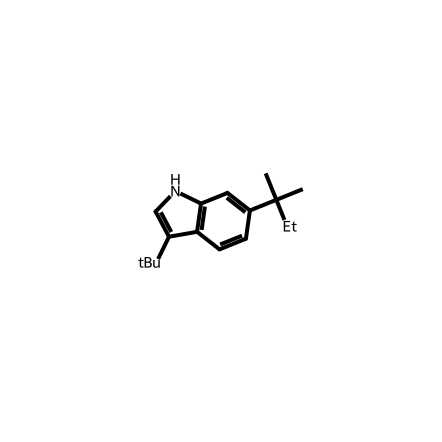 CCC(C)(C)c1ccc2c(C(C)(C)C)c[nH]c2c1